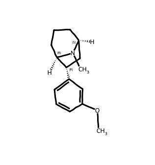 COc1cccc([C@H]2C[C@@H]3CCC[C@H]2N3C)c1